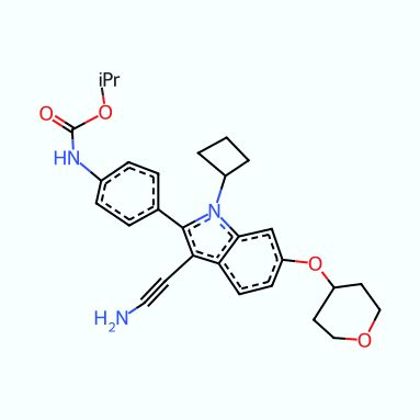 CC(C)OC(=O)Nc1ccc(-c2c(C#CN)c3ccc(OC4CCOCC4)cc3n2C2CCC2)cc1